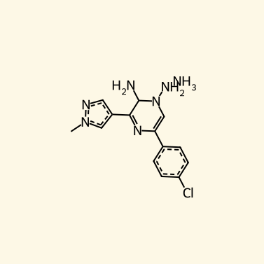 Cn1cc(C2=NC(c3ccc(Cl)cc3)=CN(N)C2N)cn1.N